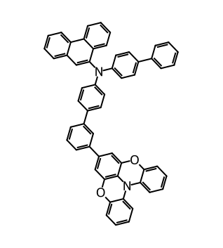 c1ccc(-c2ccc(N(c3ccc(-c4cccc(-c5cc6c7c(c5)Oc5ccccc5N7c5ccccc5O6)c4)cc3)c3cc4ccccc4c4ccccc34)cc2)cc1